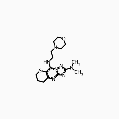 CN(C)c1nc2nc3c(c(NCCN4CCOCC4)n2n1)SCCC3